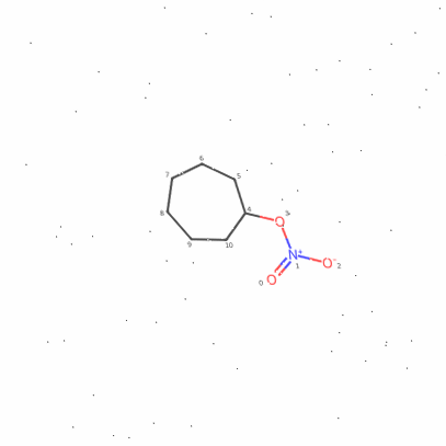 O=[N+]([O-])OC1CCCCCC1